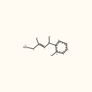 C/C(=C\C(C)c1ccccc1C)CO